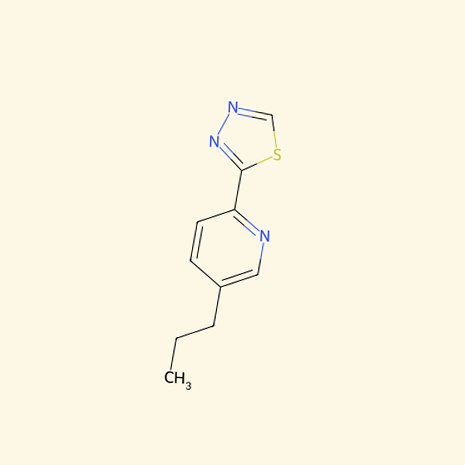 CCCc1ccc(-c2nncs2)nc1